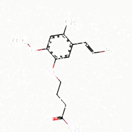 COc1cc(C)c(/C=C/Br)cc1OCCCC(=O)O